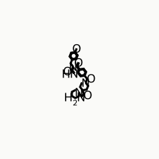 COc1ccc(Cn2c(=O)[nH]c3cc(C(=O)N4CCC(C(N)=O)(N5CCCCC5)CC4)ccc3c2=O)cc1